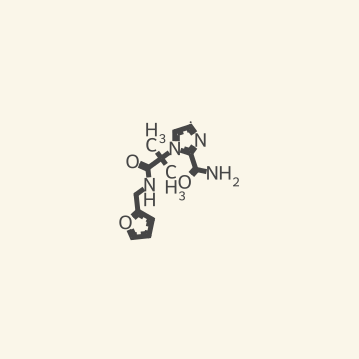 CC(C)(C(=O)NCc1ccco1)n1c[c]nc1C(N)=O